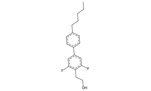 CCCCCc1ccc(-c2cc(F)c(CCO)c(F)c2)cc1